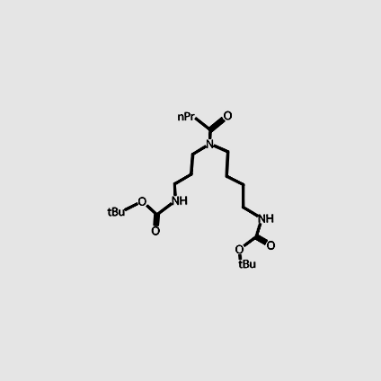 CCCC(=O)N(CCCCNC(=O)OC(C)(C)C)CCCNC(=O)OC(C)(C)C